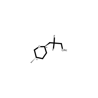 CC(=O)OCC(F)(F)C[C@H]1CC[C@H](C)CO1